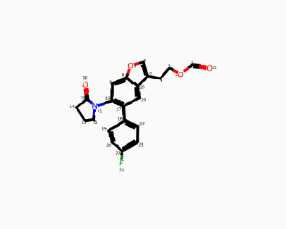 O=COCCc1coc2cc(N3CCCC3=O)c(-c3ccc(F)cc3)cc12